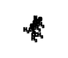 CC(C)CCC[C@@H](C)[C@H]1CCC2C3=C(CC[C@@]21C)[C@@]1(C)CCC(=O)C[C@]1(C#N)CC3